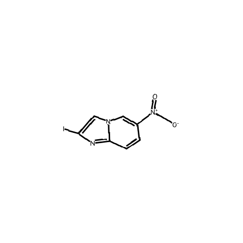 O=[N+]([O-])c1ccc2nc(I)cn2c1